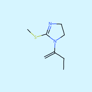 C=C(CC)N1CCN=C1SC